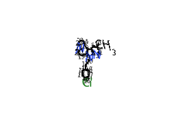 Cc1cnc2c(c1)c1c(n2CCc2ccc(Cl)cc2)CCN2CCCC12